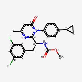 Cc1cc(=O)n(-c2ccc(C3CC3)cc2)c([C@H](Cc2cc(F)cc(F)c2)NC(=O)OC(C)(C)C)n1